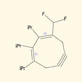 CC(C)/C1=C(C(C)C)/C(C(C)C)=C(/C(F)F)CC#CC1